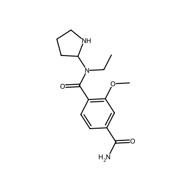 CCN(C(=O)c1ccc(C(N)=O)cc1OC)C1CCCN1